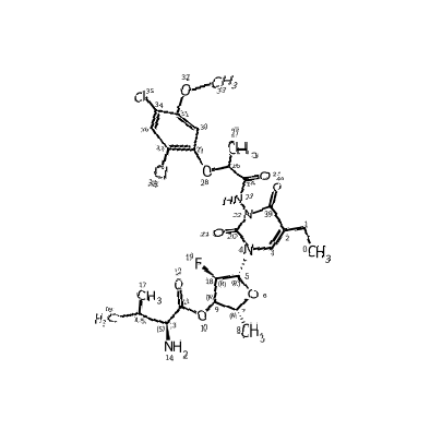 CCc1cn([C@@H]2O[C@H](C)[C@@H](OC(=O)[C@@H](N)C(C)C)[C@H]2F)c(=O)n(NC(=O)C(C)Oc2cc(OC)c(Cl)cc2Cl)c1=O